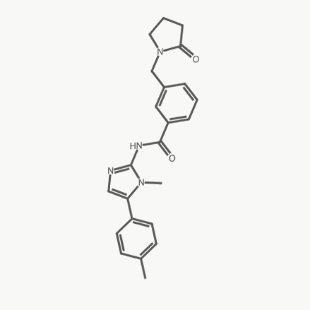 Cc1ccc(-c2cnc(NC(=O)c3cccc(CN4CCCC4=O)c3)n2C)cc1